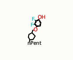 CCCCCC1CCC(COc2ccc(O)c(F)c2F)CC1